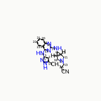 Cc1cc(Nc2nc(N[C@@H]3[C@@H]4CN(CCC#N)C[C@@H]43)nc3ccccc23)n[nH]1